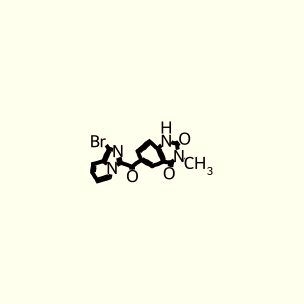 Cn1c(=O)[nH]c2ccc(C(=O)c3nc(Br)c4ccccn34)cc2c1=O